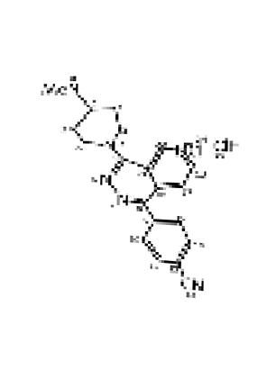 CNC1CCN(c2nnc(-c3ccc(C#N)cc3)c3ccccc23)CC1.Cl.Cl